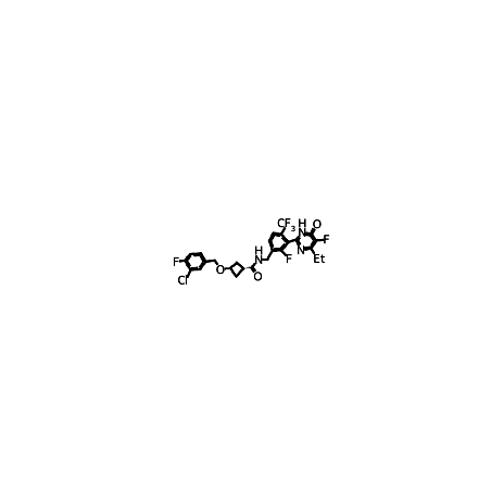 CCc1nc(-c2c(C(F)(F)F)ccc(CNC(=O)[C@H]3C[C@H](OCc4ccc(F)c(Cl)c4)C3)c2F)[nH]c(=O)c1F